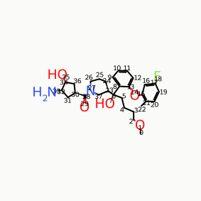 COCCCC[C@@](O)(c1ccccc1Oc1cc(F)ccc1C)[C@@H]1CCCN(C(=O)[C@H]2C[C@@H](N)[C@@H](O)C2)C1